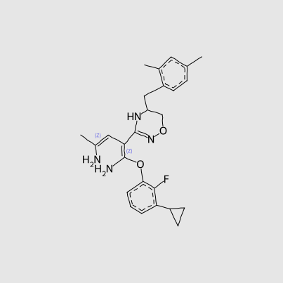 C/C(N)=C/C(C1=NOCC(Cc2ccc(C)cc2C)N1)=C(\N)Oc1cccc(C2CC2)c1F